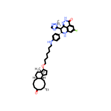 CC[C@H]1CC[C@@H]2[C@@H](CCCC(=O)C1)CC[C@]1(C)[C@@H](OCCCCCCCNc3ccc([C@H]4Nc5cc(F)cc6c(=O)[nH]nc(c56)C4c4ncnn4C)cc3)CC[C@@H]21